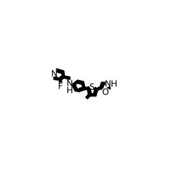 Cc1cc(C2=CNCO2)sc1-c1ccc(NCc2ccncc2F)cc1